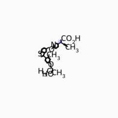 CC#C/C(=C\C(=O)O)c1ccc(OCc2ccc3scc(-c4ccc(OCCC(C)(C)O)cc4C)c3c2)nc1